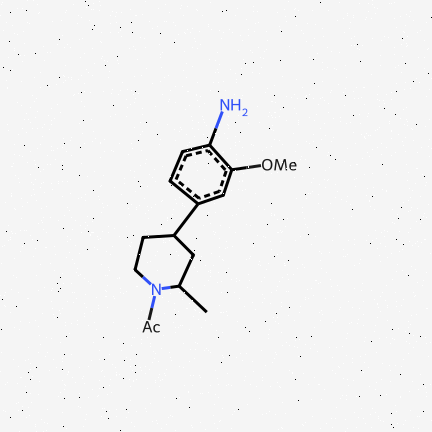 COc1cc(C2CCN(C(C)=O)C(C)C2)ccc1N